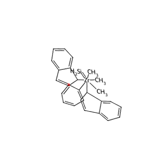 [CH3][Zr]([CH3])([CH3])(=[SiH2])([c]1ccccc1)([CH]1C=Cc2ccccc21)[CH]1C=Cc2ccccc21